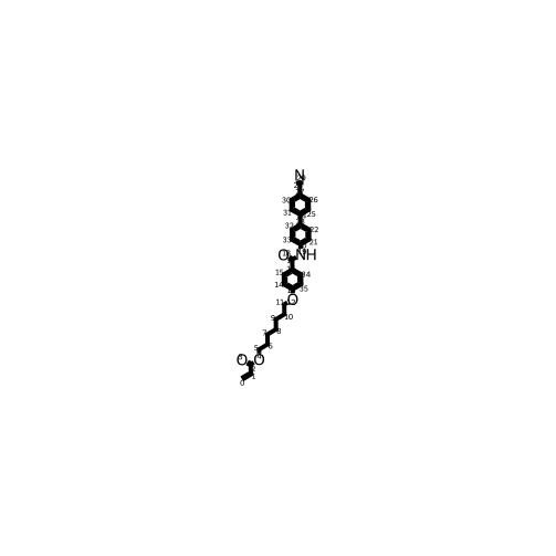 C=CC(=O)OCCCCCCCOc1ccc(C(=O)Nc2ccc(-c3ccc(C#N)cc3)cc2)cc1